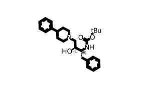 CC(C)(C)OC(=O)N[C@H](Cc1ccccc1)[C@@H](O)CN1CCC(c2ccccc2)CC1